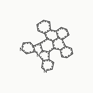 c1ccc2c(c1)c1cccc3c4ccccc4c4c(c13)c2c1c2ccncc2n2c3cnccc3c4c12